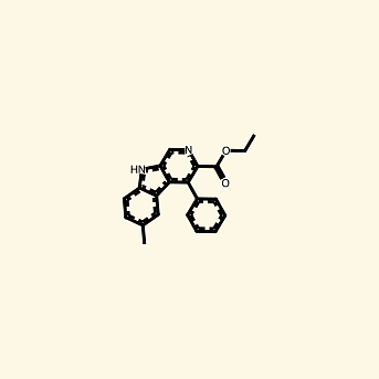 CCOC(=O)c1ncc2[nH]c3ccc(C)cc3c2c1-c1ccccc1